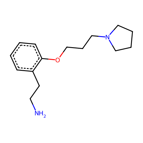 NCCc1ccccc1OCCCN1CCCC1